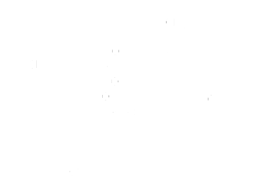 Cc1ccc(C(OC(=O)c2ccc(Cl)cc2)=C(OC(=O)c2ccc(Cl)cc2)c2ccc(C)cc2)cc1